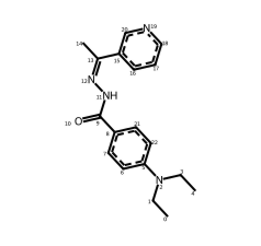 CCN(CC)c1ccc(C(=O)NN=C(C)c2cccnc2)cc1